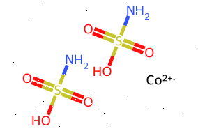 NS(=O)(=O)O.NS(=O)(=O)O.[Co+2]